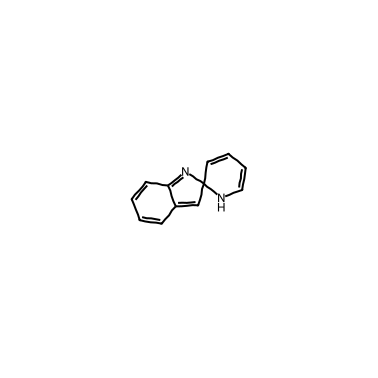 C1=CNC2(C=C1)C=c1ccccc1=N2